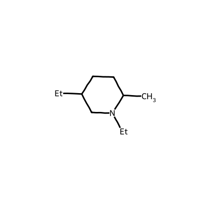 [CH2]CN1CC(CC)CCC1C